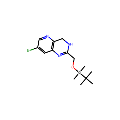 CC(C)(C)[Si](C)(C)OCC1=Nc2cc(Br)cnc2CN1